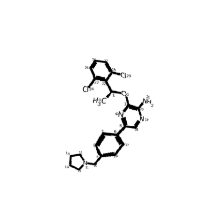 C[C@H](Oc1nc(-c2ccc([CH]N3CCCC3)cc2)cnc1N)c1c(Cl)cccc1Cl